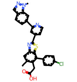 Cc1cc2nc(-c3ccnc(-c4ccc5cnn(C)c5c4)c3)sc2c(-c2ccc(Cl)cc2)c1CC(=O)O